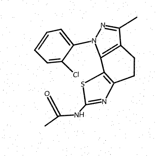 CC(=O)Nc1nc2c(s1)-c1c(c(C)nn1-c1ccccc1Cl)CC2